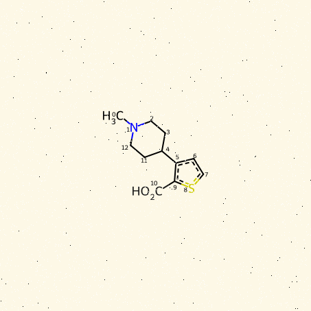 CN1CCC(c2ccsc2C(=O)O)CC1